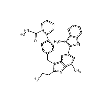 CCCc1nc2c(C)cc(-c3nc4ccccc4n3C)cc2n1Cc1ccc(-c2ccccc2C(=O)NO)cc1